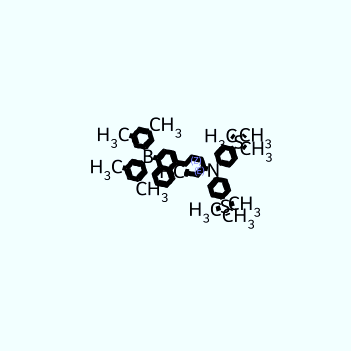 C#C/C=C(\C=C/Cc1ccc(B(c2cc(C)cc(C)c2)c2cc(C)cc(C)c2)c2ccccc12)N(c1ccc(S(C)(C)C)cc1)c1ccc(S(C)(C)C)cc1